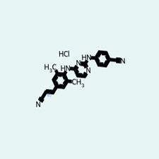 Cc1cc(/C=C/C#N)cc(C)c1Nc1ccnc(Nc2ccc(C#N)cc2)n1.Cl